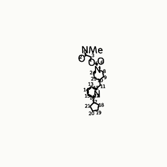 CNC(=O)COC(=O)N1CCC(Cc2cccc(C3CCCC3)n2)CC1